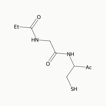 CCC(=O)NCC(=O)NC(CS)C(C)=O